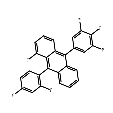 Fc1ccc(-c2c3ccccc3c(-c3cc(F)c(F)c(F)c3)c3cccc(F)c23)c(F)c1